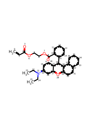 C=CC(=O)OCCOC(=O)c1ccccc1-c1c2ccc(=[N+](CC)CC)cc-2oc2ccc3ccccc3c12